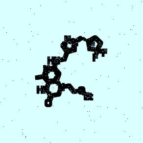 CCOCCN1CC(=O)Nc2c1cc(NCc1cnn(C[C@@H]3CCC(F)(F)C3)c1)nc2C